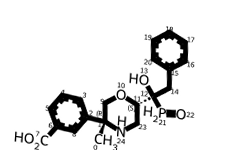 C[C@@]1(c2cccc(C(=O)O)c2)CO[C@H](C(O)(Cc2ccccc2)[PH2]=O)CN1